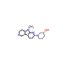 Cn1c2ccncc2c2ccc(N3CCC[C@H](O)C3)nc21